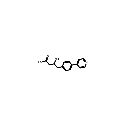 O=C(O)CC(O)Cc1ccc(-c2ccncc2)cc1